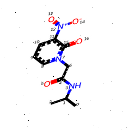 CC(C)NC(=O)Cn1cccc([N+](=O)[O-])c1=O